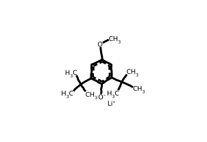 COc1cc(C(C)(C)C)c([O-])c(C(C)(C)C)c1.[Li+]